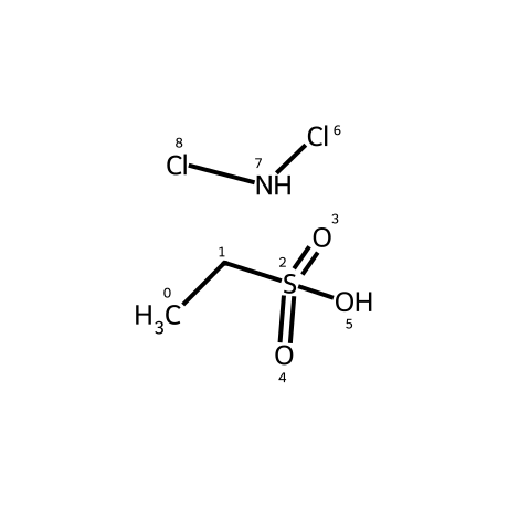 CCS(=O)(=O)O.ClNCl